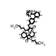 CCCCCc1c(Cc2ccc(-c3ccccc3-c3nnn[nH]3)cc2)c(=O)n2n1C(C1(C(=O)OCCCC)CCCCC1)CCC2